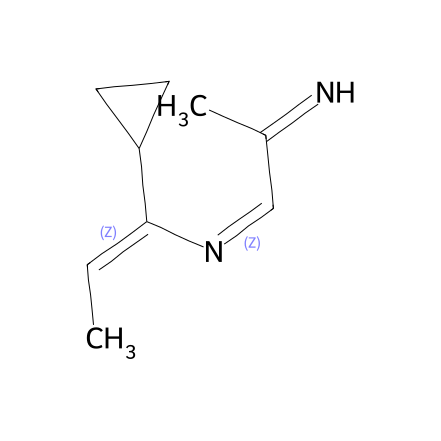 C/C=C(\N=C/C(C)=N)C1CC1